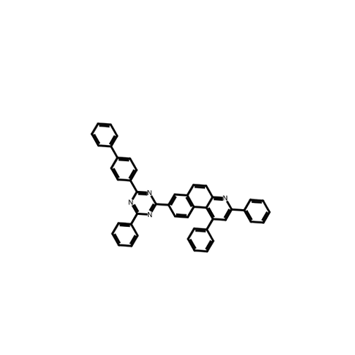 c1ccc(-c2ccc(-c3nc(-c4ccccc4)nc(-c4ccc5c(ccc6nc(-c7ccccc7)cc(-c7ccccc7)c65)c4)n3)cc2)cc1